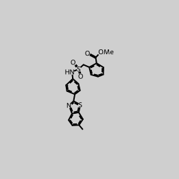 COC(=O)c1ccccc1CS(=O)(=O)Nc1ccc(-c2nc3ccc(C)cc3s2)cc1